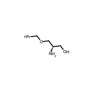 CCCCOC[C@H](N)CO